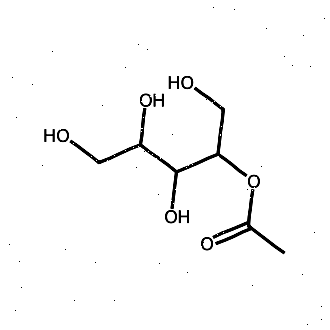 CC(=O)OC(CO)C(O)C(O)CO